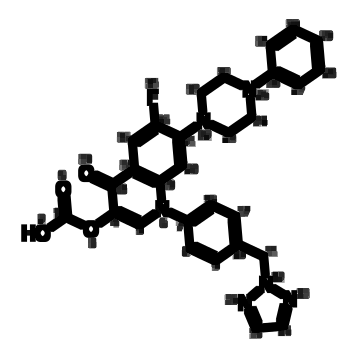 O=C(O)Oc1cn(-c2ccc(Cn3nccn3)cc2)c2cc(N3CCN(c4ccccc4)CC3)c(F)cc2c1=O